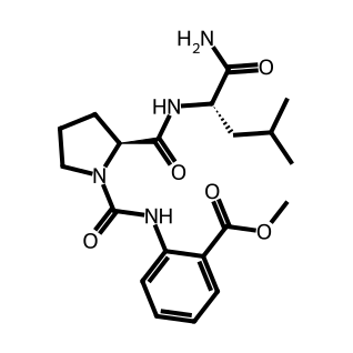 COC(=O)c1ccccc1NC(=O)N1CCC[C@H]1C(=O)N[C@@H](CC(C)C)C(N)=O